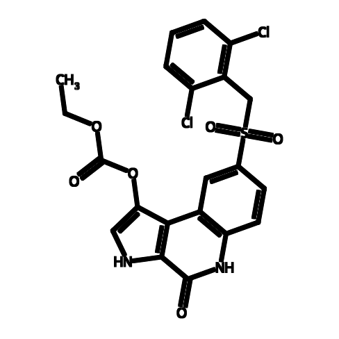 CCOC(=O)Oc1c[nH]c2c(=O)[nH]c3ccc(S(=O)(=O)Cc4c(Cl)cccc4Cl)cc3c12